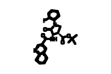 CC(C)(C)OC(=O)[C@H]1CN(c2ccccc2F)C(=O)[C@H]1NC(=O)c1cnc2ccccc2c1